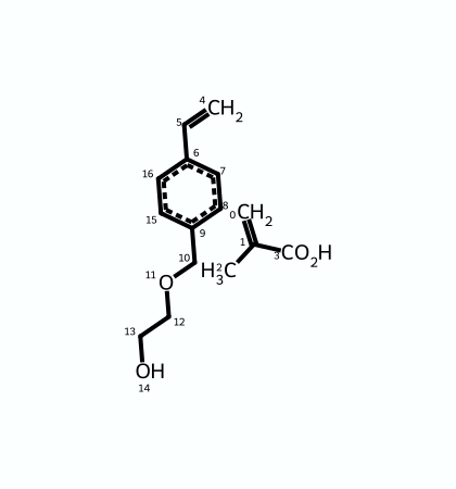 C=C(C)C(=O)O.C=Cc1ccc(COCCO)cc1